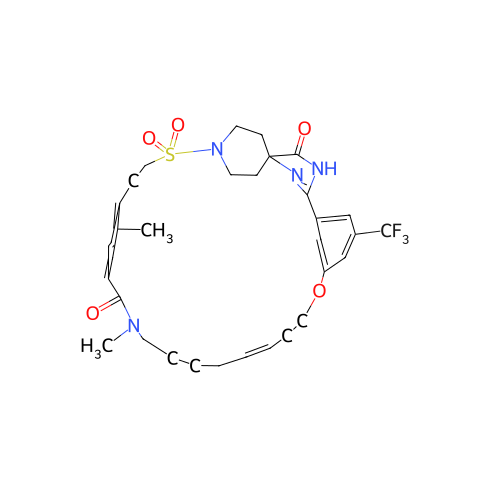 Cc1cc2ccc1CCS(=O)(=O)N1CCC3(CC1)N=C(NC3=O)c1cc(cc(C(F)(F)F)c1)OCCC=CCCCCN(C)C2=O